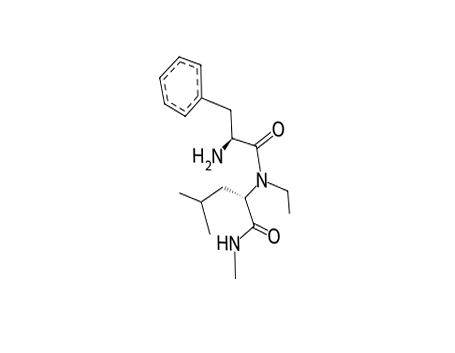 CCN(C(=O)[C@@H](N)Cc1ccccc1)[C@@H](CC(C)C)C(=O)NC